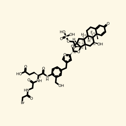 C[C@]12C=CC(=O)C=C1CC[C@H]1[C@@H]3C[C@H]4O[C@@H](c5cc(Cc6ccc(NC(=O)[C@H](CCC(=O)O)NC(=O)CNC(=O)CBr)c(CO)c6)co5)O[C@@]4(C(=O)COP(=O)(O)O)[C@@]3(C)C[C@H](O)[C@@]12F